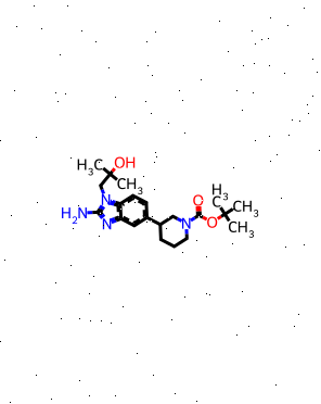 CC(C)(O)Cn1c(N)nc2cc(C3CCCN(C(=O)OC(C)(C)C)C3)ccc21